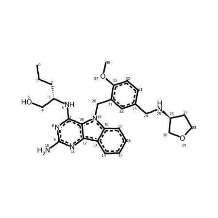 CCC[C@@H](CO)Nc1nc(N)nc2c3ccccc3n(Cc3cc(CN[C@H]4CCOC4)ccc3OC)c12